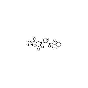 CC(C)[C@@H](N)C(=O)CCN(C(=O)C(Cl)Cl)c1ccnc(-c2cc(-c3c(Cl)cccc3Cl)no2)c1